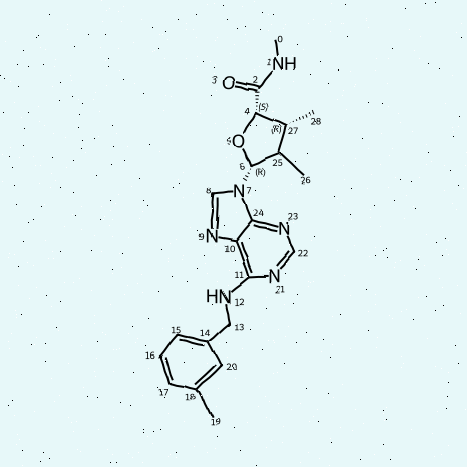 CNC(=O)[C@H]1O[C@@H](n2cnc3c(NCc4cccc(C)c4)ncnc32)C(C)[C@H]1C